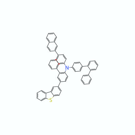 c1ccc(-c2ccccc2-c2ccc(N(c3ccc(-c4ccc5ccccc5c4)cc3)c3ccc(-c4ccc5sc6ccccc6c5c4)cc3-c3ccccc3)cc2)cc1